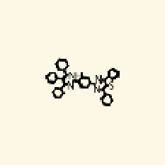 C1=CCC(C2=C(c3ccccc3)C(C3CC=CCC3)=NC(C3=CCC(c4nc(-c5ccccc5)c5sc6ccccc6c5n4)C=C3)N2)C=C1